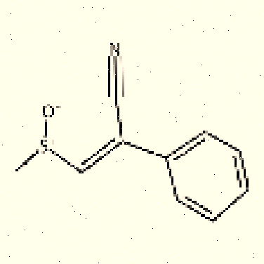 C[S+]([O-])C=C(C#N)c1ccccc1